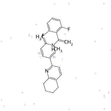 C=C(/C=C\C(=C/C)c1ccc2c(n1)CCCC2)NC(=C)c1c(F)cccc1F